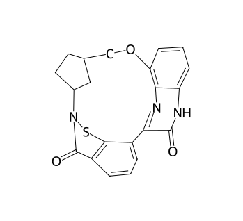 O=c1[nH]c2cccc3c2nc1-c1cccc2c(=O)n(sc12)C1CCC(CO3)C1